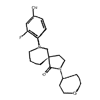 N#Cc1ccc(N2CCC[C@]3(CCN(C4CCOCC4)C3=O)C2)c(F)c1